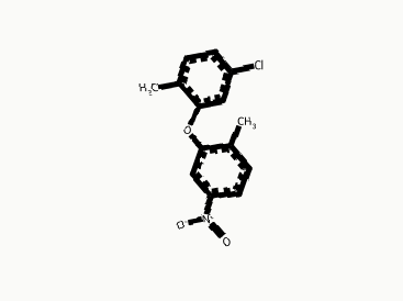 Cc1ccc(Cl)cc1Oc1cc([N+](=O)[O-])ccc1C